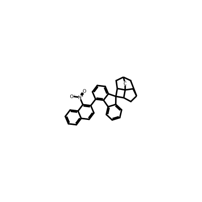 O=[N+]([O-])c1c(-c2cccc3c2-c2ccccc2C32C3CC4CC5CC2C3(C4)C5)ccc2ccccc12